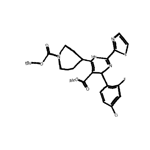 COC(=O)C1=C(C2CCN(C(=O)OC(C)(C)C)CC2)NC(c2nccs2)=NC1c1ccc(Cl)cc1F